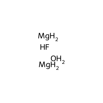 F.O.[MgH2].[MgH2]